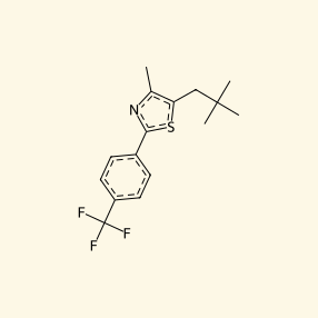 Cc1nc(-c2ccc(C(F)(F)F)cc2)sc1CC(C)(C)C